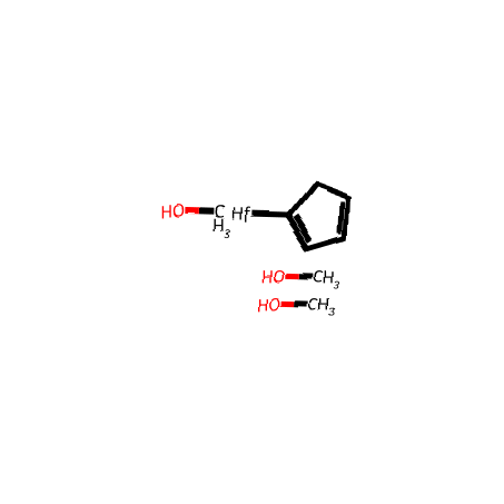 CO.CO.CO.[Hf][C]1=CC=CC1